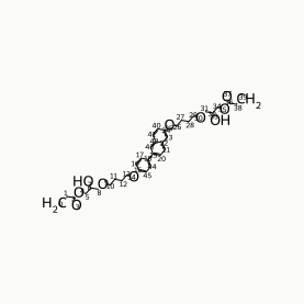 C=CC(=O)OCC(O)COCCCCOc1ccc(-c2ccc3cc(OCCCCOCC(O)COC(=O)C=C)ccc3c2)cc1